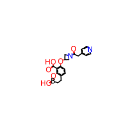 O=C(O)c1c(OC2CN(C(=O)Cc3ccncc3)C2)ccc2c1OB(O)CC2